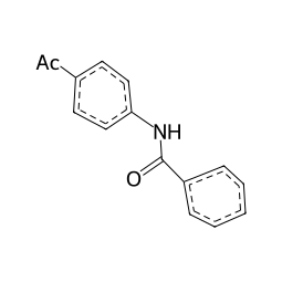 CC(=O)c1ccc(NC(=O)c2ccccc2)cc1